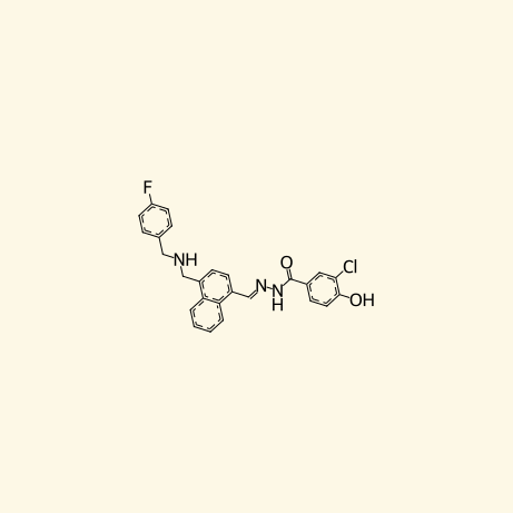 O=C(N/N=C/c1ccc(CNCc2ccc(F)cc2)c2ccccc12)c1ccc(O)c(Cl)c1